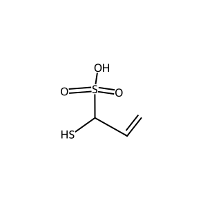 C=CC(S)S(=O)(=O)O